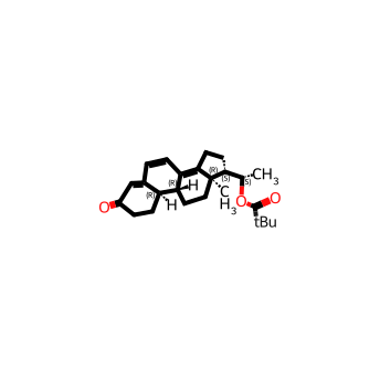 C[C@H](OC(=O)C(C)(C)C)[C@H]1CCC2=C3C=CC4=CC(=O)CC[C@@H]4[C@H]3CC[C@@]21C